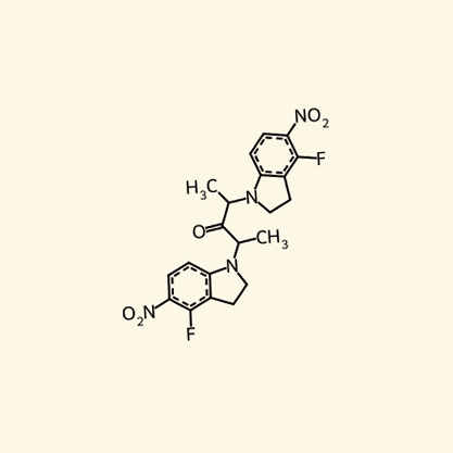 CC(C(=O)C(C)N1CCc2c1ccc([N+](=O)[O-])c2F)N1CCc2c1ccc([N+](=O)[O-])c2F